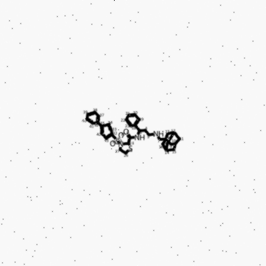 O=C(NC(CCNCC12CC3CC(CC(C3)C1)C2)c1ccccc1)C1SCCN1S(=O)(=O)c1ccc(-c2ccccc2)cc1